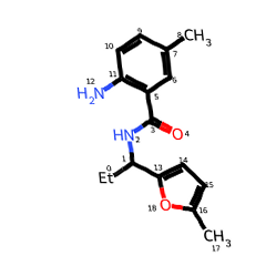 CCC(NC(=O)c1cc(C)ccc1N)c1ccc(C)o1